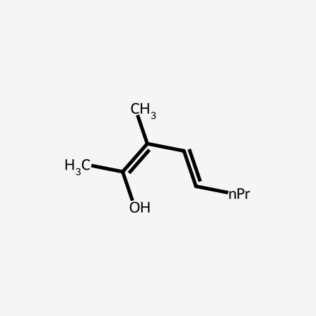 CCCC=CC(C)=C(C)O